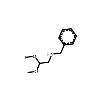 COC(CNCc1ccccc1)OI